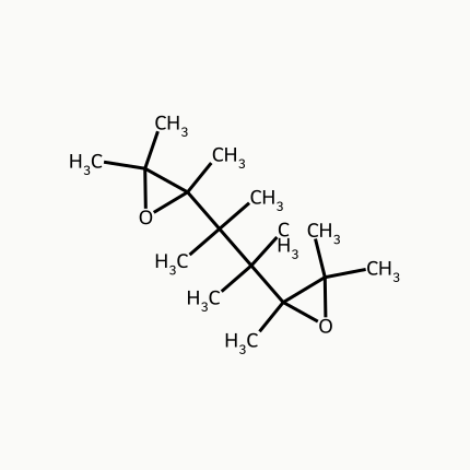 CC1(C)OC1(C)C(C)(C)C(C)(C)C1(C)OC1(C)C